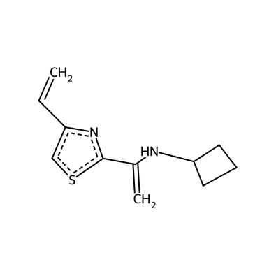 C=Cc1csc(C(=C)NC2CCC2)n1